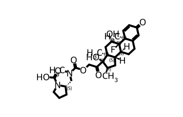 C[C@@H]1C[C@H]2[C@@H]3CCC4=CC(=O)C=C[C@]4(C)[C@@]3(F)[C@@H](O)C[C@]2(C)[C@@]1(O)C(=O)COC(=O)N(C)C[C@@H]1CCCN1C(=O)O